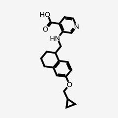 O=C(O)c1ccncc1NCC1CCCc2cc(OCC3CC3)ccc21